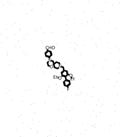 CCOc1cc(CN2CCC3(CC2)CN(c2ccc(C=O)cc2)CCO3)cc(OCC)c1-c1ccc(F)cc1